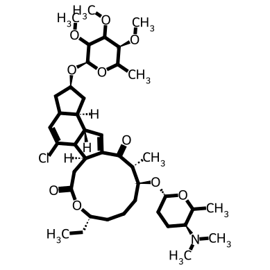 CC[C@H]1CCC[C@H](O[C@H]2CC[C@H](N(C)C)C(C)O2)[C@@H](C)C(=O)C2=C[C@@H]3C(C(Cl)=CC4C[C@@H](O[C@@H]5OC(C)[C@H](OC)C(OC)C5OC)C[C@H]43)[C@@H]2CC(=O)O1